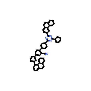 N#Cc1cc(-c2cccc(-c3cccc4ccc5ccccc5c34)c2)ccc1-c1ccc(-c2nc(-c3ccccc3)nc(-c3ccc4ccc5ccccc5c4c3)n2)cc1